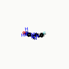 O=c1[nH]c2ccc(Nc3ncnc4c3ccn4Cc3ccc(F)cc3)cc2[nH]1